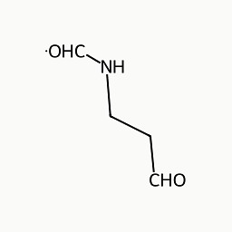 O=[C]NCCC=O